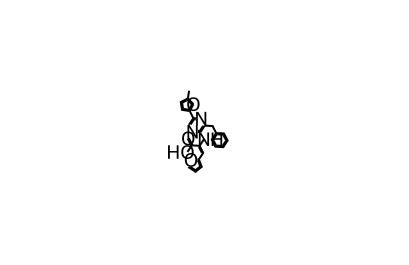 Cc1ccc(-c2cnc(NC(=Cc3ccco3)C(=O)O)c(Cc3ccccc3)n2)o1